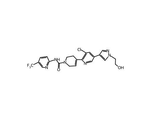 O=C(Nc1ccc(C(F)(F)F)cn1)N1CC=C(c2ncc(-c3cnn(CCO)c3)cc2Cl)CC1